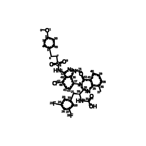 COc1ccc(CCS(=O)(=O)Nc2nn(C)c3c(-n4c([C@H](Cc5cc(F)cc(F)c5)NC(=O)O)nc5c(C)cccc5c4=O)ccc(Cl)c23)cc1